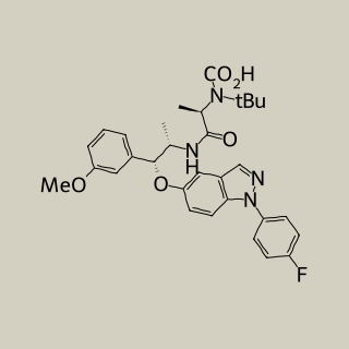 COc1cccc([C@@H](Oc2ccc3c(cnn3-c3ccc(F)cc3)c2)[C@H](C)NC(=O)[C@@H](C)N(C(=O)O)C(C)(C)C)c1